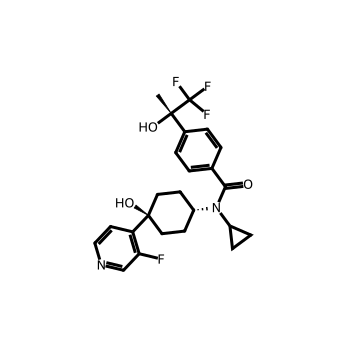 C[C@](O)(c1ccc(C(=O)N(C2CC2)[C@H]2CC[C@@](O)(c3ccncc3F)CC2)cc1)C(F)(F)F